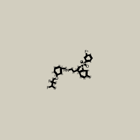 O=S(=O)(c1cccc(F)c1)n1cc(CCNCc2cccc(OCC(F)(F)C(F)F)c2)c2ccc(F)cc21